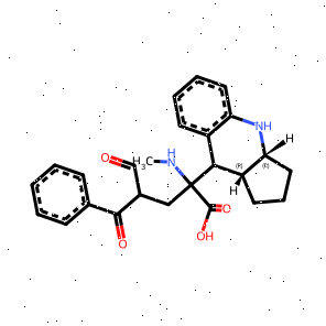 CNC(CC(C=O)C(=O)c1ccccc1)(C(=O)O)C1c2ccccc2N[C@@H]2CCC[C@H]12